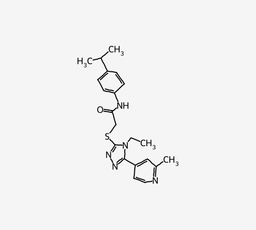 CCn1c(SCC(=O)Nc2ccc(C(C)C)cc2)nnc1-c1ccnc(C)c1